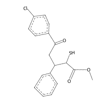 COC(=O)C(S)C(CC(=O)c1ccc(Cl)cc1)c1ccccc1